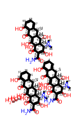 C[C@H]1c2cccc(O)c2C(=O)C2=C(O)[C@]3(O)C(=O)C(C(N)=O)=C(O)[C@@H](N(C)C)[C@@H]3[C@@H](O)[C@@H]21.C[C@H]1c2cccc(O)c2C(=O)C2=C(O)[C@]3(O)C(=O)C(C(N)=O)=C(O)[C@@H](N(C)C)[C@@H]3[C@@H](O)[C@@H]21.C[C@H]1c2cccc(O)c2C(=O)C2=C(O)[C@]3(O)C(=O)C(C(N)=O)=C(O)[C@@H](N(C)C)[C@@H]3[C@@H](O)[C@@H]21.O.O.O